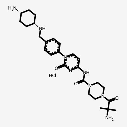 CC(C)(N)C(=O)N1CCN(C(=O)Nc2ccn(-c3ccc(CN[C@H]4CC[C@@H](N)CC4)cc3)c(=O)n2)CC1.Cl